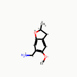 CCOc1cc2c(cc1CN)OC(C)C2